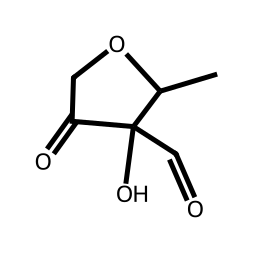 CC1OCC(=O)C1(O)C=O